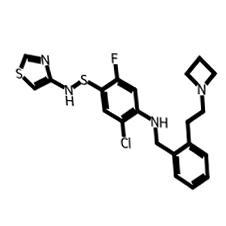 Fc1cc(NCc2ccccc2CCN2CCC2)c(Cl)cc1SNc1cscn1